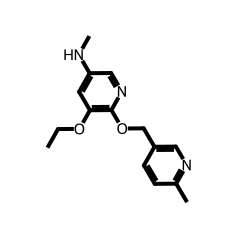 CCOc1cc(NC)cnc1OCc1ccc(C)nc1